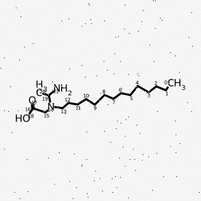 CCCCCCCCCCCCCCN(CC(=O)O)C(C)N